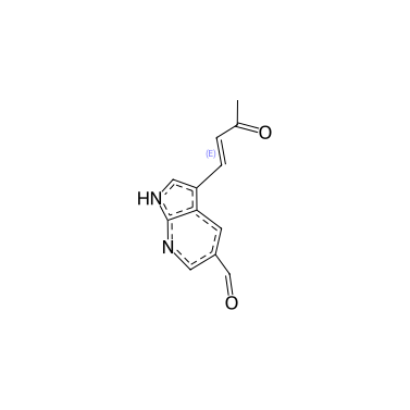 CC(=O)/C=C/c1c[nH]c2ncc(C=O)cc12